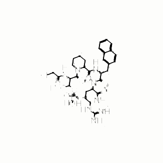 CC(OP(=O)(O)O)C(NC(=O)CCl)C(=O)N1CCCCC1C(=O)NC(Cc1ccc2ccccc2c1)C(=O)NC(CCCNC(=N)N)C(N)=O